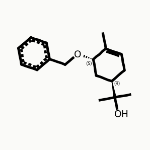 CC1=CC[C@@H](C(C)(C)O)C[C@@H]1OCc1ccccc1